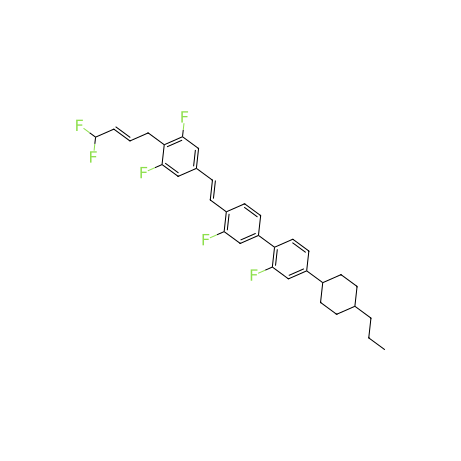 CCCC1CCC(c2ccc(-c3ccc(/C=C/c4cc(F)c(C/C=C/C(F)F)c(F)c4)c(F)c3)c(F)c2)CC1